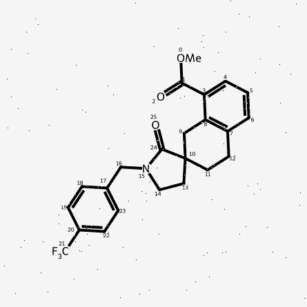 COC(=O)c1cccc2c1CC1(CC2)CCN(Cc2ccc(C(F)(F)F)cc2)C1=O